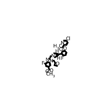 COC(=O)c1cc(F)c2nc(CN3C[C@@H]4C(c5c(F)ccc6c5OC(C)(c5ccc(Cl)cn5)O6)[C@@H]4C3)n(CC3CCO3)c2c1